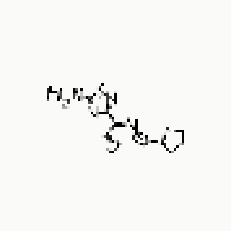 Nc1nc(C([C]=O)=NOC2CCCC2)ns1